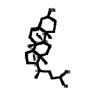 CC(=O)OC1CC[C@@]2(C)C(=CC[C@H]3[C@@H]4CC[C@H]([C@H](C)CCC(O)C(C)C)[C@@]4(C)CC[C@@H]32)C1